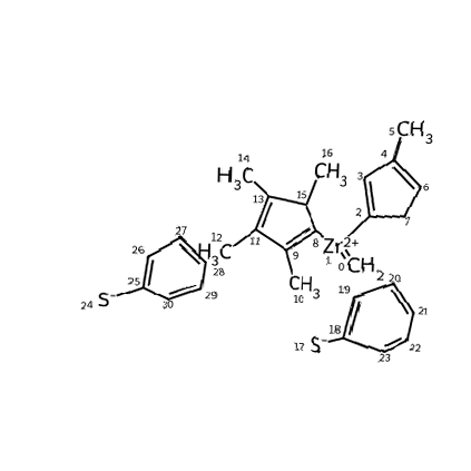 [CH2]=[Zr+2]([C]1=CC(C)=CC1)[C]1=C(C)C(C)=C(C)C1C.[S-]c1ccccc1.[S-]c1ccccc1